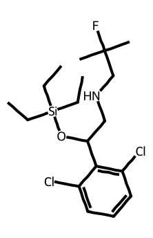 CC[Si](CC)(CC)OC(CNCC(C)(C)F)c1c(Cl)cccc1Cl